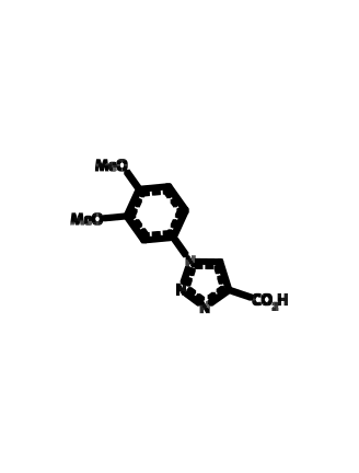 COc1ccc(-n2cc(C(=O)O)nn2)cc1OC